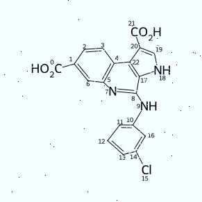 O=C(O)c1ccc2c(c1)nc(Nc1cccc(Cl)c1)c1[nH]cc(C(=O)O)c12